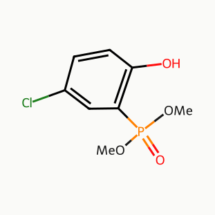 COP(=O)(OC)c1cc(Cl)ccc1O